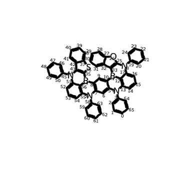 c1ccc(N2c3cc4c(cc3B3c5c2cccc5N(c2ccccc2)c2oc5ccccc5c23)B2c3sc5ccccc5c3N(c3ccccc3)c3cccc(c32)N4c2ccccc2)cc1